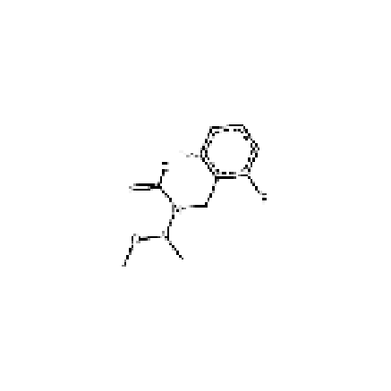 C=C(Cl)N(Cc1c(F)cccc1F)N(C)OC